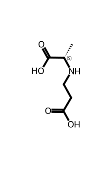 C[C@H](NCCC(=O)O)C(=O)O